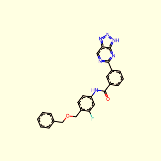 O=C(Nc1ccc(COCc2ccccc2)c(F)c1)c1cccc(-c2ncc3nn[nH]c3n2)c1